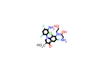 NCCO.Nc1cc(-n2cc(C(=O)O)c(=O)c3cc(F)c(NCCO)c(Cl)c32)c(F)cc1F